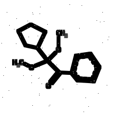 COC(OC)(C(=O)c1ccccc1)C1CCCC1